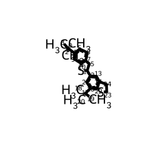 CC(C)(C)c1ccc2c(c1)SC(c1cc3c(c(C(C)(C)C)c1)SCC3)C2